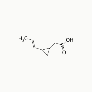 CC=CC1CC1CS(=O)O